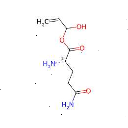 C=CC(O)OC(=O)[C@@H](N)CCC(N)=O